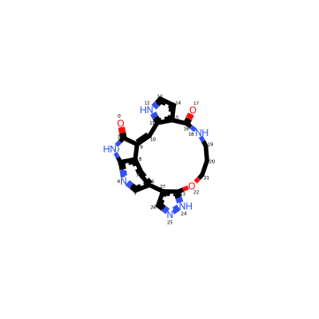 O=C1Nc2ncc3cc2/C1=C/c1[nH]ccc1C(=O)NCCCOc1[nH]ncc1-3